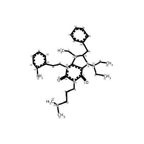 CCN1c2c(c(=O)n(CCCN(C)C)c(=O)n2CCc2ccccc2N)N(N(CC)CC)C1Cc1ccccc1